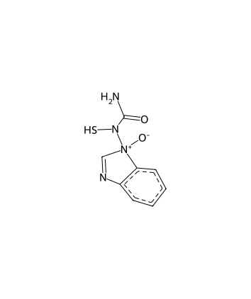 NC(=O)N(S)[N+]1([O-])C=Nc2ccccc21